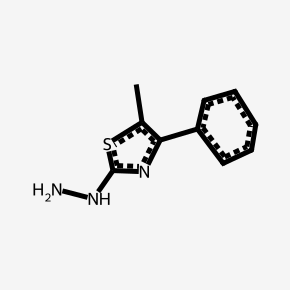 Cc1sc(NN)nc1-c1ccccc1